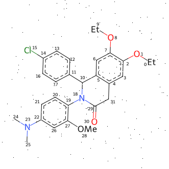 CCOc1cc2c(cc1OCC)C(c1ccc(Cl)cc1)N(c1ccc(N(C)C)cc1OC)C(=O)C2